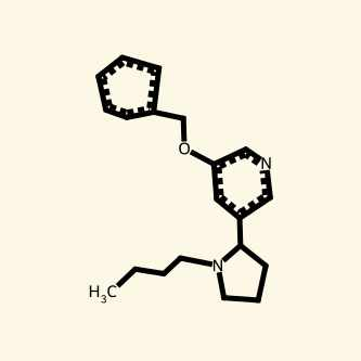 CCCCN1CCCC1c1cncc(OCc2ccccc2)c1